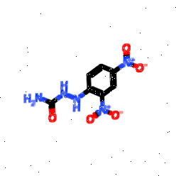 NC(=O)NNc1ccc([N+](=O)[O-])cc1[N+](=O)[O-]